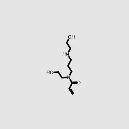 C=CC(=O)N(CCO)CCCNCCO